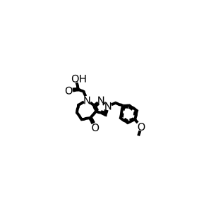 COc1ccc(Cn2cc3c(n2)N(CC(=O)O)CCCC3=O)cc1